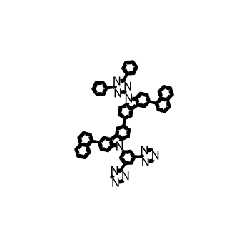 c1ccc(-c2nc(-c3ccccc3)nc(-n3c4ccc(-c5ccc6c(c5)c5cc(-c7cccc8ccccc78)ccc5n6-c5cc(-c6ncncn6)cc(-c6ncncn6)c5)cc4c4cc(-c5cccc6ccccc56)ccc43)n2)cc1